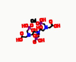 O=C(O)CN(CCN(CCN(CC(=O)O)CP(=O)(O)O)CP(=O)(O)O)CP(=O)(O)O.[Gd]